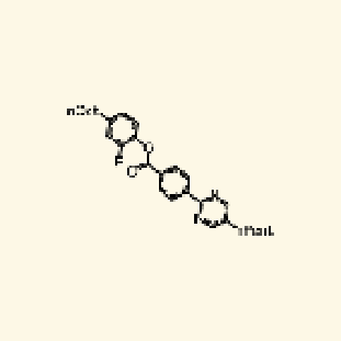 CCCCCCCCc1ccc(OC(=O)c2ccc(-c3ncc(CCCCC)cn3)cc2)c(F)c1